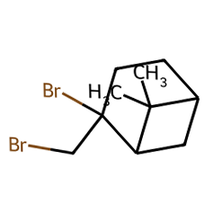 CC1(C)C2CCC(Br)(CBr)C1C2